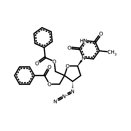 Cc1cn([C@H]2C[C@H](N=[N+]=[N-])C(COC(=O)c3ccccc3)(COC(=O)c3ccccc3)O2)c(=O)[nH]c1=O